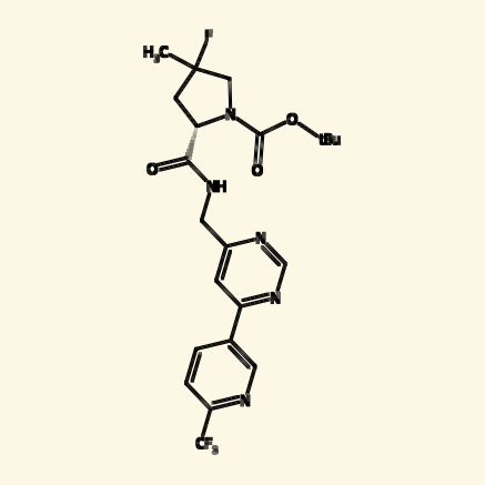 CC1(F)C[C@@H](C(=O)NCc2cc(-c3ccc(C(F)(F)F)nc3)ncn2)N(C(=O)OC(C)(C)C)C1